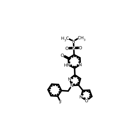 CN(C)S(=O)(=O)c1cnc(-c2cc(-c3ccon3)n(Cc3ccccc3F)n2)[nH]c1=O